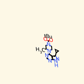 CC1CN(C(=O)OC(C)(C)C)CCN1c1ncnc2[nH]nc(C3CC3)c12